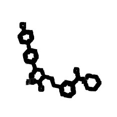 O=C(C[C@@H](CCc1cccc(C(=O)N2CCCCC2)c1)C(=O)O)c1ccc(-c2ccc(Cl)cc2)cc1